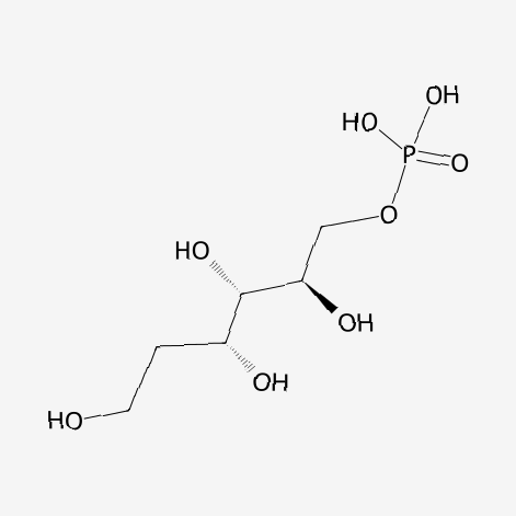 O=P(O)(O)OC[C@@H](O)[C@@H](O)[C@H](O)CCO